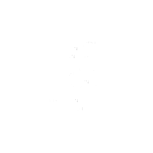 CN(CCO)CC(=O)N1CCCC1C(=O)c1nnc(C(C)(C)C)o1